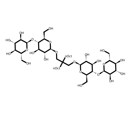 CCCCCCCCC(CCCCCCCC)(CO[C@@H]1O[C@H](CO)[C@@H](O[C@H]2O[C@H](CO)[C@@H](O)[C@H](O)[C@H]2O)[C@H](O)[C@H]1O)CO[C@@H]1O[C@H](CO)[C@@H](O[C@H]2O[C@H](CO)[C@@H](O)[C@H](O)[C@H]2O)[C@H](O)[C@H]1O